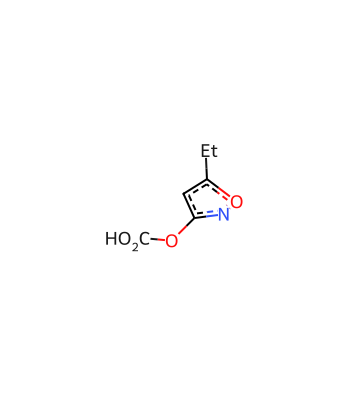 CCc1cc(OC(=O)O)no1